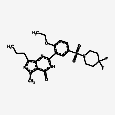 CCCc1nn(C)c2c(=O)[nH]c(-c3cc(S(=O)(=O)N4CCC(F)(F)CC4)ccc3OCC)nc12